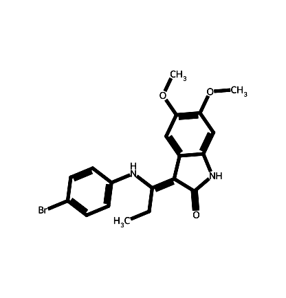 CCC(Nc1ccc(Br)cc1)=C1C(=O)Nc2cc(OC)c(OC)cc21